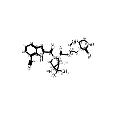 CC1(C)[C@@H]2[C@@H](C(=O)N[C@H](CO)C[C@@H]3CCNC3=O)N(C(=O)c3cc4cccc(C#N)c4[nH]3)C[C@@H]21